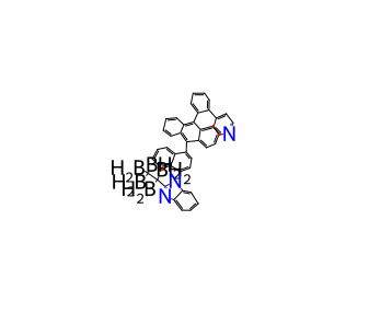 BC(B)(B)C(B)(B)c1nc2ccccc2n1-c1ccc(-c2c3ccccc3c(-c3ccccc3-c3ccncc3)c3ccccc23)c2ccccc12